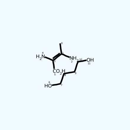 CC(N)=C(N)C(=O)O.OCCCCO